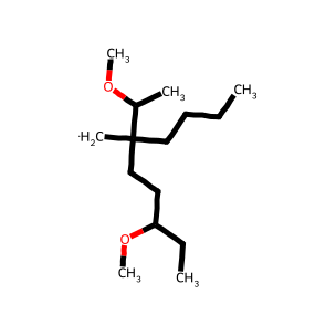 [CH2]C(CCCC)(CCC(CC)OC)C(C)OC